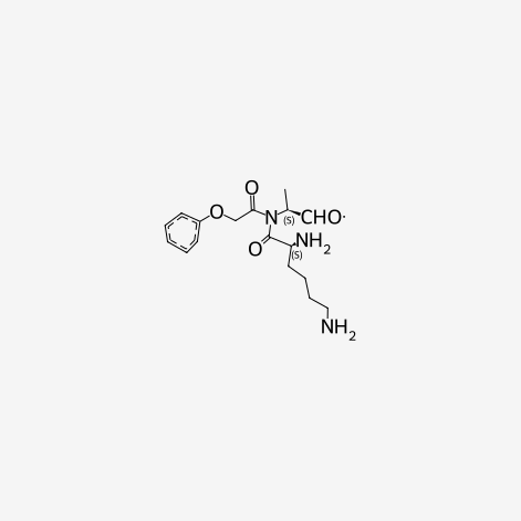 C[C@@H]([C]=O)N(C(=O)COc1ccccc1)C(=O)[C@@H](N)CCCCN